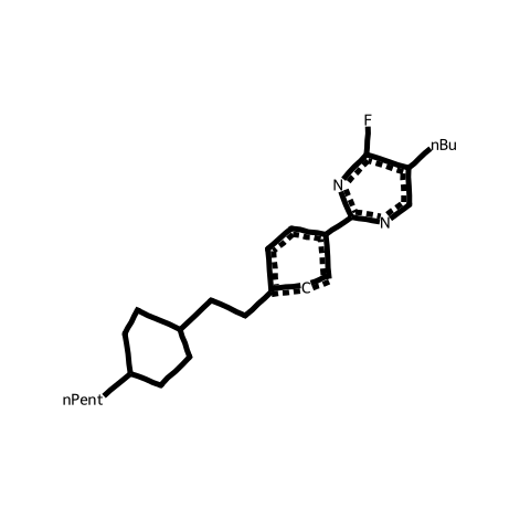 CCCCCC1CCC(CCc2ccc(-c3ncc(CCCC)c(F)n3)cc2)CC1